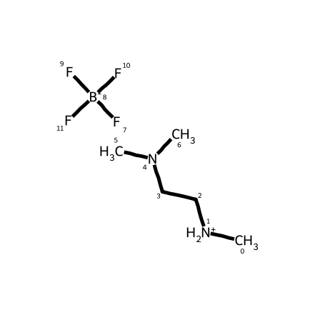 C[NH2+]CCN(C)C.F[B-](F)(F)F